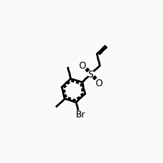 C=CCS(=O)(=O)c1cc(Br)c(C)cc1C